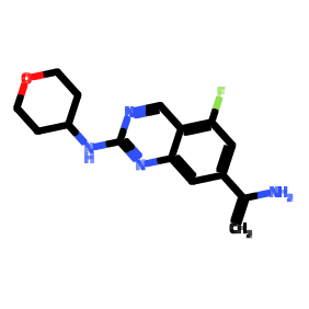 C=C(N)c1cc(F)c2cnc(NC3CCOCC3)nc2c1